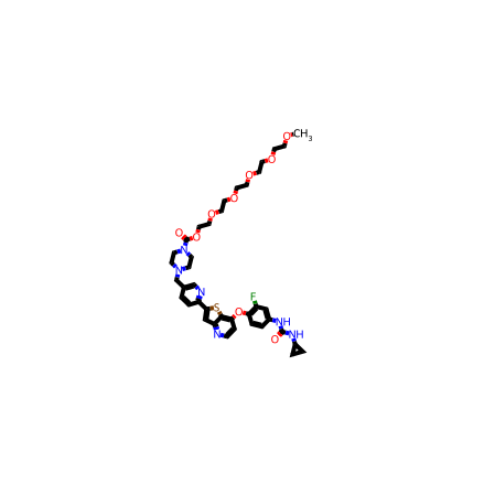 COCCOCCOCCOCCOCCOC(=O)N1CCN(Cc2ccc(-c3cc4nccc(Oc5ccc(NC(=O)NC6CC6)cc5F)c4s3)nc2)CC1